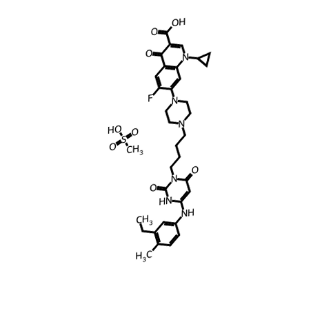 CCc1cc(Nc2cc(=O)n(CCCCN3CCN(c4cc5c(cc4F)c(=O)c(C(=O)O)cn5C4CC4)CC3)c(=O)[nH]2)ccc1C.CS(=O)(=O)O